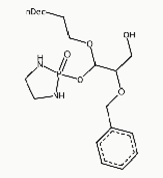 CCCCCCCCCCCCOC(OP1(=O)NCCN1)C(CO)OCc1ccccc1